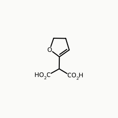 O=C(O)C(C(=O)O)C1=CCCO1